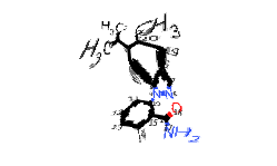 CC(C)C1C=c2c(cnn2-c2ccccc2C(N)=O)=CC1C